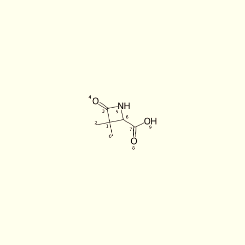 CC1(C)C(=O)NC1C(=O)O